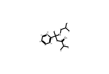 CC(C)CSC(C)(CC(=O)C(C)C)c1ccccn1